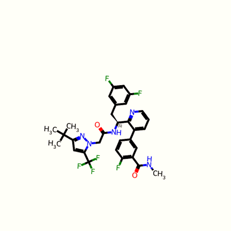 CNC(=O)c1cc(-c2cccnc2[C@H](Cc2cc(F)cc(F)c2)NC(=O)Cn2nc(C(C)(C)C)cc2C(F)(F)F)ccc1F